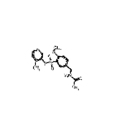 COc1ccc(CNC(C)=O)cc1S(=O)(=O)Nc1cnccc1C